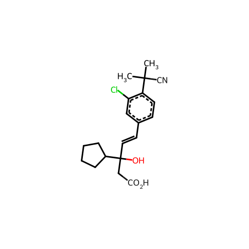 CC(C)(C#N)c1ccc(C=CC(O)(CC(=O)O)C2CCCC2)cc1Cl